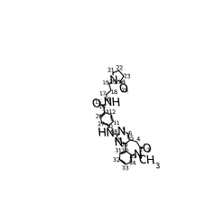 CN1C(=O)Cc2cnc(Nc3ccc(C(=O)NCCCN4CCCC4=O)cc3)nc2-c2ccccc21